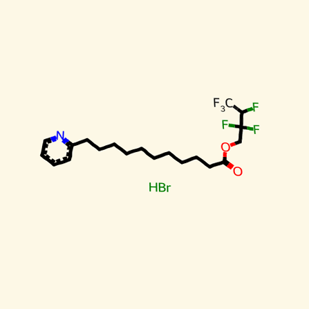 Br.O=C(CCCCCCCCCCc1ccccn1)OCC(F)(F)C(F)C(F)(F)F